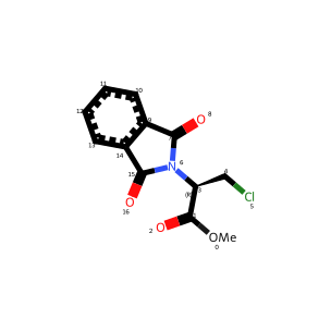 COC(=O)[C@H](CCl)N1C(=O)c2ccccc2C1=O